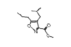 CCCc1onc(C(=O)OC)c1CC(C)C